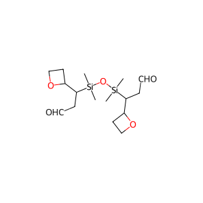 C[Si](C)(O[Si](C)(C)C(CC=O)C1CCO1)C(CC=O)C1CCO1